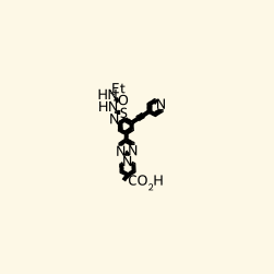 CCNC(=O)Nc1nc2cc(-c3cnc(N4CCC(C)(C(=O)O)CC4)nc3)cc(C#Cc3ccncc3)c2s1